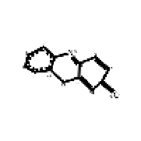 O=C1C=CC2=Nc3ccccc3CC2=C1